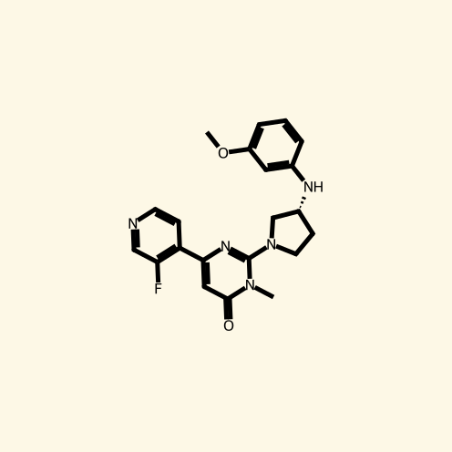 COc1cccc(N[C@@H]2CCN(c3nc(-c4ccncc4F)cc(=O)n3C)C2)c1